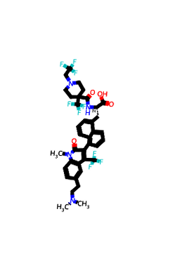 CN(C)CCc1ccc2c(c1)c(C(F)(F)F)c(-c1cccc3c(C[C@H](NC(=O)C4(C(F)(F)F)CCN(CC(F)(F)F)CC4)C(=O)O)cccc13)c(=O)n2C